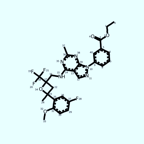 CCOC(=O)c1cccc(-n2ncc3c(NCC4(C(F)(F)F)CC(C)(c5cc(F)ccc5OC)O4)nc(C)nc32)c1